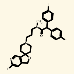 CN(CCCN1CCC2(CC1)OCc1cc(F)ncc12)C(=O)C(c1ccc(F)cc1)c1ccc(F)cc1